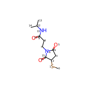 CSC1CC(=O)N(CCC(=O)NC(C)C)C1=O